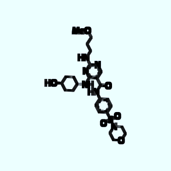 COCCCNc1ncc(C(=O)Nc2ccc(S(=O)(=O)N3CCOCC3)cc2)c(N[C@H]2CC[C@H](O)CC2)n1